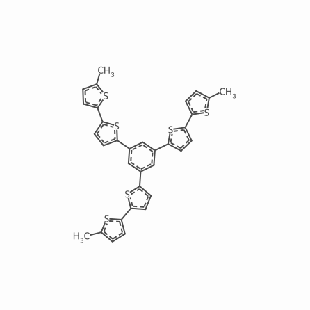 Cc1ccc(-c2ccc(-c3cc(-c4ccc(-c5ccc(C)s5)s4)cc(-c4ccc(-c5ccc(C)s5)s4)c3)s2)s1